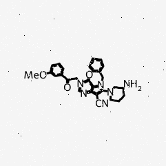 COc1cccc(C(=O)Cn2cnc3c(C#N)c(N4CCCC(N)C4)n(Cc4ccccc4)c3c2=O)c1